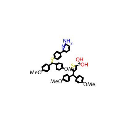 COc1ccc(C(Sc2ccc(-c3cccc(N)n3)cc2)c2ccc(OC)cc2)cc1.COc1ccc(C(c2ccc(OC)cc2)c2csc(B(O)O)c2)cc1